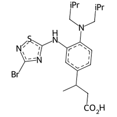 CC(C)CN(CC(C)C)c1ccc(C(C)CC(=O)O)cc1Nc1nc(Br)ns1